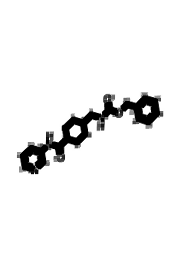 O=C(NCC1CCC(C(=O)Nc2cccnc2)CC1)OCc1ccccc1